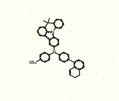 CC(C)(C)c1ccc(N(c2ccc(-c3cccc4c3C=CCC4)cc2)c2ccc3c(c2)c2cccc4c2n3-c2ccccc2C4(C)C)cc1